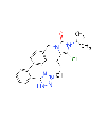 CCCc1c(Cl)n(C(C)C)c(=O)n1Cc1ccc(-c2ccccc2-c2nnn[nH]2)cc1